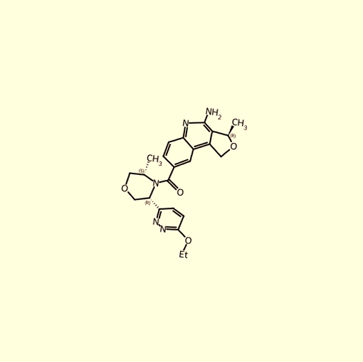 CCOc1ccc([C@@H]2COC[C@H](C)N2C(=O)c2ccc3nc(N)c4c(c3c2)CO[C@@H]4C)nn1